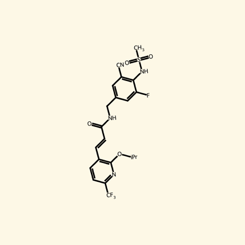 CC(C)Oc1nc(C(F)(F)F)ccc1/C=C/C(=O)NCc1cc(F)c(NS(C)(=O)=O)c(C#N)c1